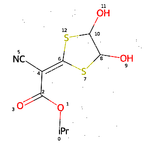 CC(C)OC(=O)C(C#N)=C1SC(O)C(O)S1